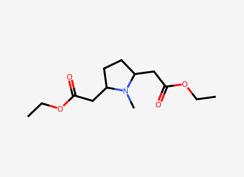 CCOC(=O)CC1CCC(CC(=O)OCC)N1C